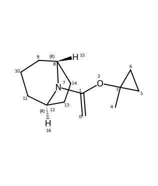 C=C(OC1(C)CC1)N1[C@@H]2CCC[C@@H]1CC2